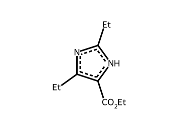 CCOC(=O)c1[nH]c(CC)nc1CC